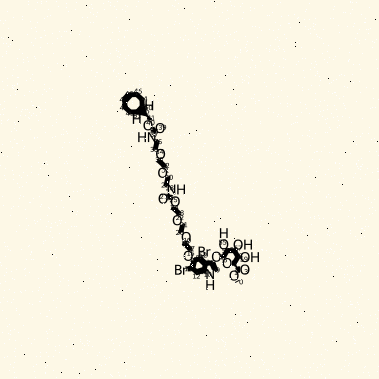 COC(=O)[C@H]1O[C@@H](Oc2c[nH]c3cc(Br)c(OCCOCCOCCOC(=O)NCCOCCOCCNC(=O)OC[C@@H]4[C@@H]5CCC#CCC[C@@H]54)c(Br)c23)[C@H](O)[C@@H](O)[C@@H]1O